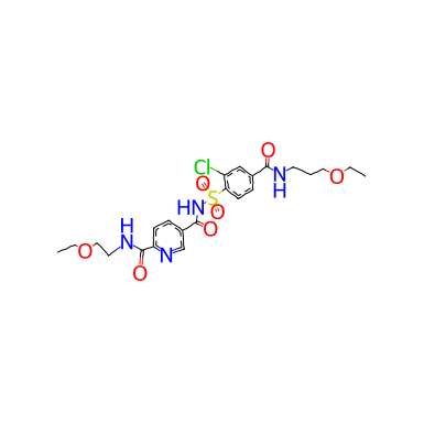 CCOCCCNC(=O)c1ccc(S(=O)(=O)NC(=O)c2ccc(C(=O)NCCOCC)nc2)c(Cl)c1